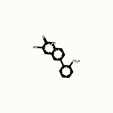 O=C(O)c1ccccc1-c1ccc2[nH]c(=O)c(O)cc2c1